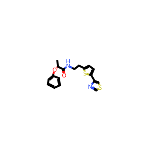 CC(Oc1ccccc1)C(=O)NCCc1ccc(-c2cscn2)s1